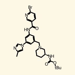 Cc1cn(-c2cc(CN3CCC[C@H](NC(=O)OC(C)(C)C)C3)cc(NC(=O)c3ccc(Br)nc3)c2)cn1